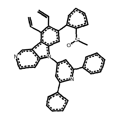 C=Cc1c(-c2ccccc2[S+](C)[O-])cc2c(c1C=C)c1cnccc1n2-c1cc(-c2ccccc2)nc(-c2ccccc2)c1